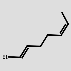 C/C=C\CC/C=C/CC